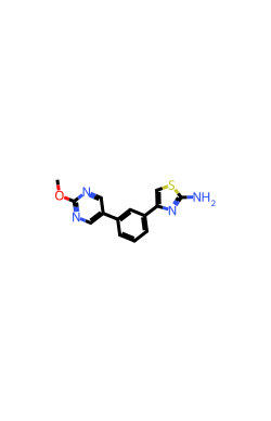 COc1ncc(-c2cccc(-c3csc(N)n3)c2)cn1